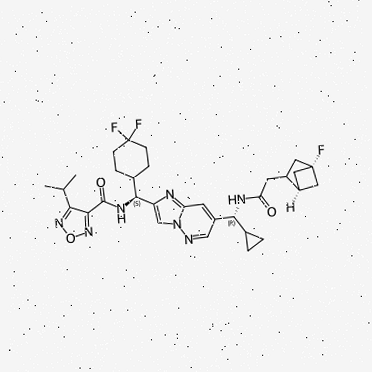 CC(C)c1nonc1C(=O)N[C@H](c1cn2ncc([C@H](NC(=O)CC3C[C@]4(F)C[C@H]3C4)C3CC3)cc2n1)C1CCC(F)(F)CC1